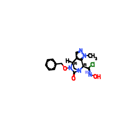 Cn1ncc2c1[C@@H](/C(Cl)=N/O)N1C[C@@H]2N(OCc2ccccc2)C1=O